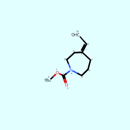 CC(C)(C)OC(=O)N1CCC/C(=C/C=O)CC1